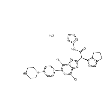 Cl.O=C(Nc1nccs1)[C@@H](c1ncn2c1CCC2)n1cc2c(Cl)cc(-c3ccc(N4CCNCC4)cc3)c(Cl)c2n1